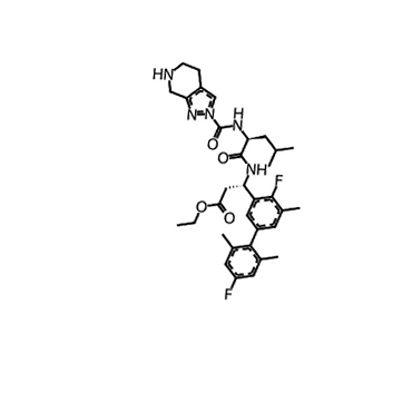 CCOC(=O)C[C@H](NC(=O)[C@H](CC(C)C)NC(=O)n1cc2c(n1)CNCC2)c1cc(-c2c(C)cc(F)cc2C)cc(C)c1F